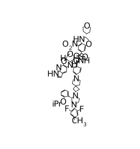 Cc1cc(F)c(N2CCN(C3CC4(CCN(c5ccc(C(=O)NS(=O)(=O)c6cc7c(c([N+](=O)[O-])c6)N[C@H](C6CCOCC6)CO7)c(N6c7cc8cc[nH]c8nc7O[C@H]7COCC[C@@H]76)c5)CC4)C3)[C@H](c3ccccc3OC(C)C)C2)c(F)c1